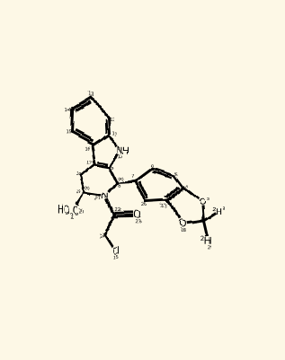 [2H]C1([2H])Oc2ccc([C@@H]3c4[nH]c5ccccc5c4C[C@H](C(=O)O)N3C(=O)CCl)cc2O1